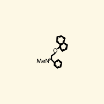 CN[C@H](CCOc1cccc2ccccc12)c1ccccc1